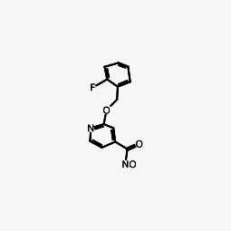 O=NC(=O)c1ccnc(OCc2ccccc2F)c1